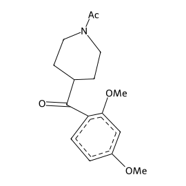 COc1ccc(C(=O)C2CCN(C(C)=O)CC2)c(OC)c1